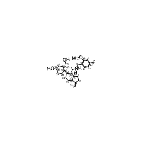 C=C1CC[C@H]2[C@H](CNCc3ccc(F)cc3OC)[C@@H]([C@@]3(C)CC[C@H](O)C[C@@H]3CO)CC[C@]12C